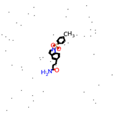 Cc1ccc(S(=O)(=O)n2ccc3cc(CCC(N)=O)ccc32)cc1